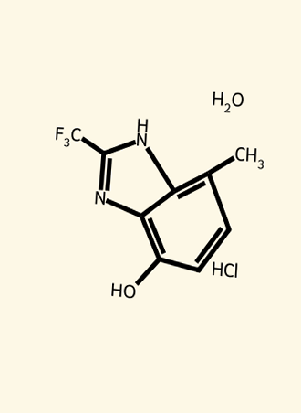 Cc1ccc(O)c2nc(C(F)(F)F)[nH]c12.Cl.O